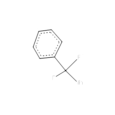 C[C](C)C(F)(F)c1ccccc1